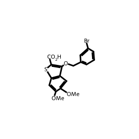 COc1cc2sc(C(=O)O)c(OCc3cccc(Br)c3)c2cc1OC